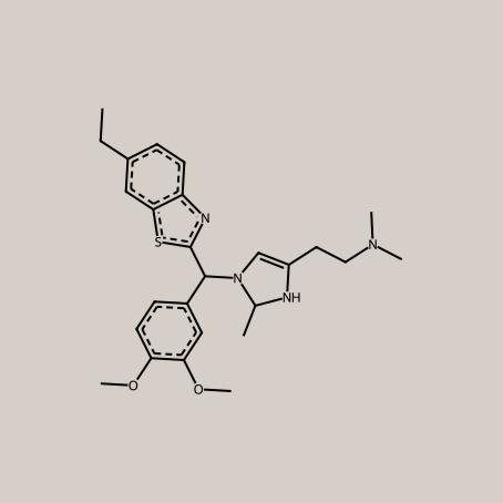 CCc1ccc2nc(C(c3ccc(OC)c(OC)c3)N3C=C(CCN(C)C)NC3C)sc2c1